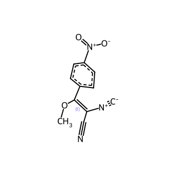 [C-]#[N+]/C(C#N)=C(/OC)c1ccc([N+](=O)[O-])cc1